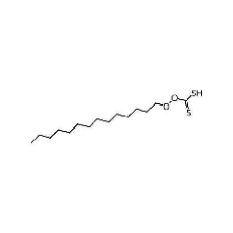 CCCCCCCCCCCCCCOOC(=S)S